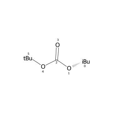 C[CH][C@@H](C)OC(=O)OC(C)(C)C